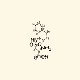 N[C@@H](CS(=O)(=O)NC1CCCc2ccccc21)C(=O)O